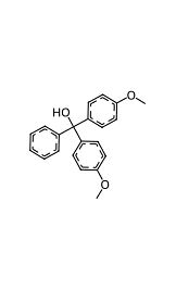 COc1ccc(C(O)(c2ccccc2)c2ccc(OC)cc2)cc1